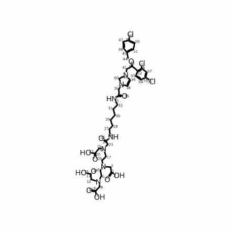 O=C(O)CN(CCN(CC(=O)O)CC(=O)O)CCN(CC(=O)O)CC(=O)NCCCCCCNC(=O)CN1C=CN(CC(OCc2ccc(Cl)cc2)c2ccc(Cl)cc2Cl)C1